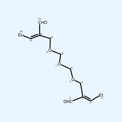 CCC=C(C=O)COCOCOCC(C=O)=CCC